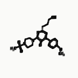 COc1ccc(-n2cc(CCCO)nc(N3CCN(S(C)(=O)=O)CC3)c2=O)cc1